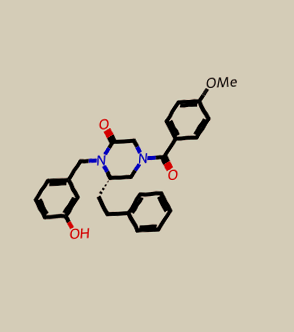 COc1ccc(C(=O)N2CC(=O)N(Cc3cccc(O)c3)[C@@H](CCc3ccccc3)C2)cc1